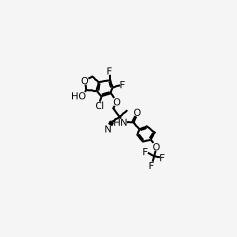 CC(C#N)(COc1c(F)c(F)c2c(c1Cl)C(O)OC2)NC(=O)c1ccc(OC(F)(F)F)cc1